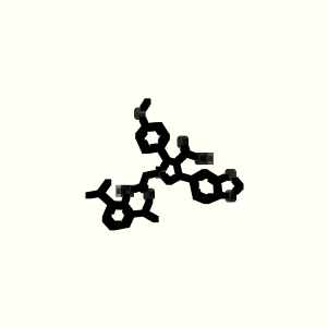 COc1ccc(C2C(C(=O)O)C(c3ccc4c(c3)OCO4)CN2CC(=O)Nc2c(C(C)C)cccc2C(C)C)cc1